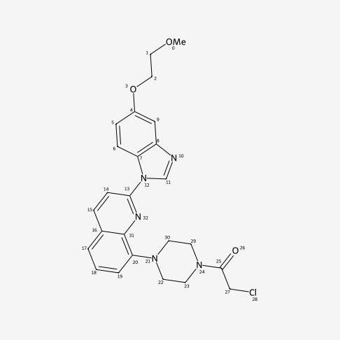 COCCOc1ccc2c(c1)ncn2-c1ccc2cccc(N3CCN(C(=O)CCl)CC3)c2n1